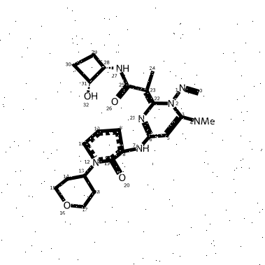 C=NN1C(NC)=CC(Nc2cccn(C3CCOCC3)c2=O)=N/C1=C(/C)C(=O)N[C@H]1CC[C@H]1O